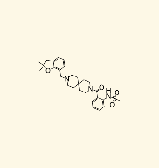 CC1(C)Cc2cccc(CN3CCC4(CC3)CCN(C(=O)c3ccccc3NS(C)(=O)=O)CC4)c2O1